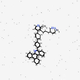 C/C=C\C(CN)CCCc1c(C2C=CC(c3ccc(-c4nc5c6ccccc6c6ccccc6c5c5ccccc45)cc3)=CC2)ccnc1C